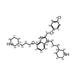 Clc1ccc(OCc2nc3c(OCCC[C@@H]4CCCNC4)cccc3n2CCCC2CCCNC2)cc1